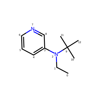 CCN(c1cccnc1)C(C)(C)C